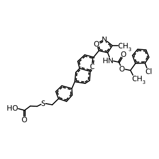 Cc1noc(-c2ccc3cc(-c4ccc(CSCCC(=O)O)cc4)ccc3c2)c1NC(=O)OC(C)c1ccccc1Cl